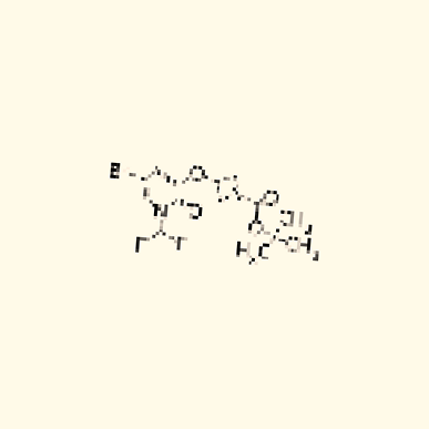 CC(C)(C)OC(=O)N1CC(Oc2cc(Br)cn(C(F)F)c2=O)C1